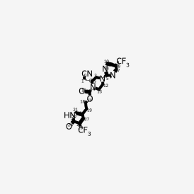 N#CC[C@@H]1CN(c2ncc(C(F)(F)F)cn2)CCN1C(=O)OCCc1c[nH]c(=O)c(C(F)(F)F)c1